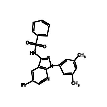 Cc1cc(C)cc(-n2nc(NS(=O)(=O)c3ccccc3)c3cc(C(C)C)cnc32)c1